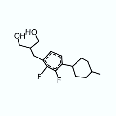 CC1CCC(c2ccc(CC(CO)CO)c(F)c2F)CC1